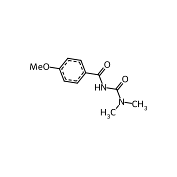 COc1ccc(C(=O)NC(=O)N(C)C)cc1